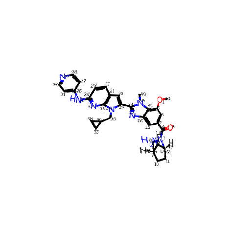 COc1cc(C(=O)N2C[C@H]3CC[C@@H]2[C@@H]3N)cc2nc(-c3cc4ccc(Nc5ccncc5)nc4n3CC3CC3)n(C)c12